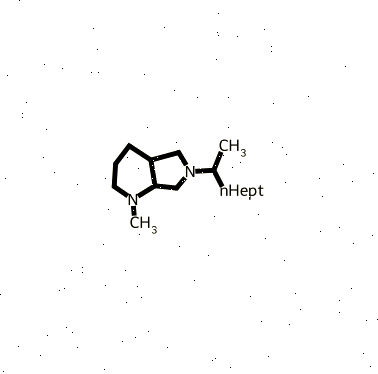 CCCCCCCC(C)N1CC2CCCN(C)C2C1